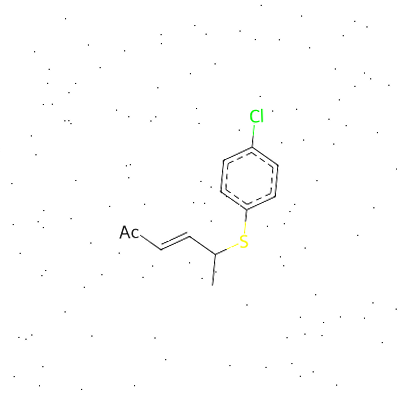 CC(=O)C=CC(C)Sc1ccc(Cl)cc1